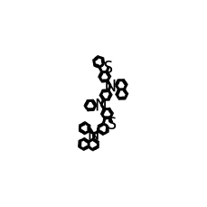 c1ccc(N(c2ccc(N(c3ccc4c(c3)sc3ccccc34)c3cccc4ccccc34)cc2)c2ccc3sc4ccc(N(c5ccccc5)c5cccc6ccccc56)cc4c3c2)cc1